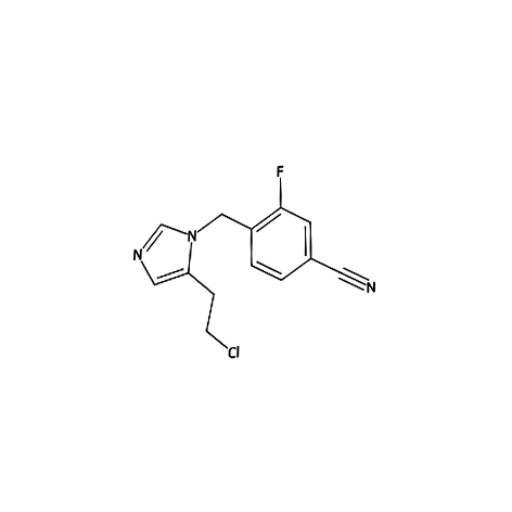 N#Cc1ccc(Cn2cncc2CCCl)c(F)c1